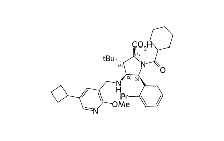 COc1ncc(C2CCC2)cc1CN[C@H]1[C@H](C(C)(C)C)[C@@H](C(=O)O)N(C(=O)C2CCCCC2)[C@H]1c1ccccc1C(C)C